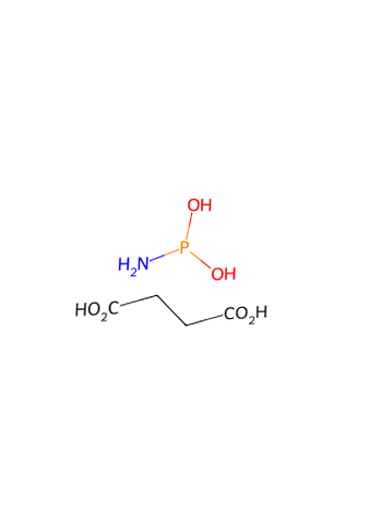 NP(O)O.O=C(O)CCC(=O)O